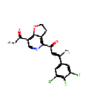 COC(=O)c1cnc(C(=O)/C=C(/c2cc(Cl)c(F)c(Cl)c2)C(F)(F)F)c2c1OCC2